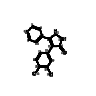 O=c1[nH][nH]c(-c2ccncc2)c1-c1ccc(Cl)c(Cl)c1